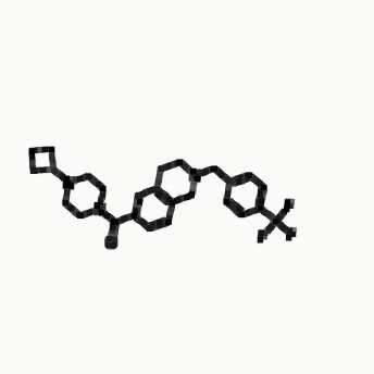 O=C(c1ccc2c(c1)CCN(Cc1ccc(C(F)(F)F)cc1)C2)N1CCN(C2CCC2)CC1